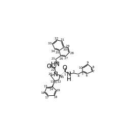 O=C(NCCc1ccccc1)[C@@H]1C[C@@H](c2ccccc2)CN1C(=O)NCc1cccc2ccccc12